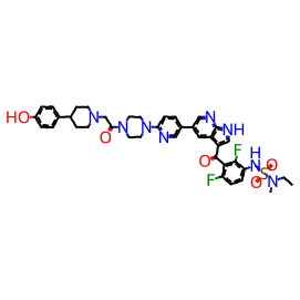 CCN(C)S(=O)(=O)Nc1ccc(F)c(C(=O)c2c[nH]c3ncc(-c4ccc(N5CCN(C(=O)CN6CCC(c7ccc(O)cc7)CC6)CC5)nc4)cc23)c1F